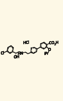 CC(C)Oc1cc(-c2ccc(CCNC[C@H](O)c3cccc(Cl)c3)cc2)ccc1C(=O)O.Cl